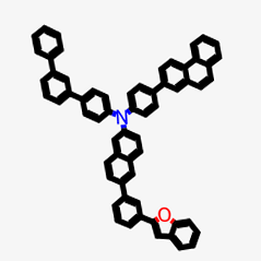 c1ccc(-c2cccc(-c3ccc(N(c4ccc(-c5ccc6c(ccc7ccccc76)c5)cc4)c4ccc5cc(-c6cccc(-c7cc8ccccc8o7)c6)ccc5c4)cc3)c2)cc1